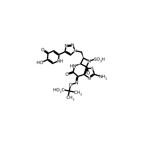 CC(C)(O/N=C(\C(=O)N[C@@H]1C(=O)N(S(=O)(=O)O)[C@@H]1Cn1cc(-c2cc(=O)c(O)c[nH]2)nn1)c1csc(N)n1)C(=O)O